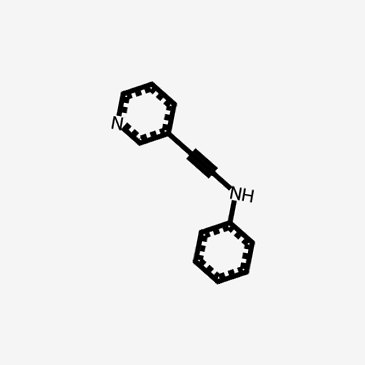 C(#Cc1cccnc1)Nc1ccccc1